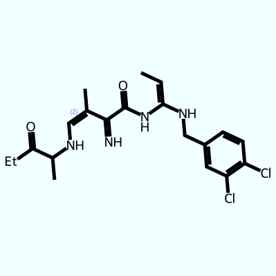 CC=C(NCc1ccc(Cl)c(Cl)c1)NC(=O)C(=N)/C(C)=C\NC(C)C(=O)CC